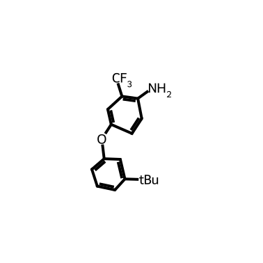 CC(C)(C)c1cccc(Oc2ccc(N)c(C(F)(F)F)c2)c1